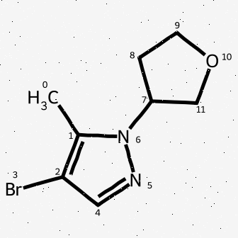 Cc1c(Br)cnn1C1CCOC1